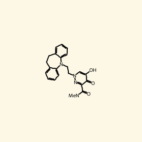 CNC(=O)c1nn(CCN2c3ccccc3CCc3ccccc32)cc(O)c1=O